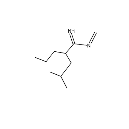 C=NC(=N)C(CCC)CC(C)C